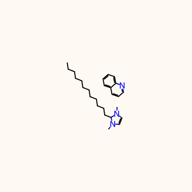 CCCCCCCCCCCCC1N(C)C=CN1C.c1ccc2ncccc2c1